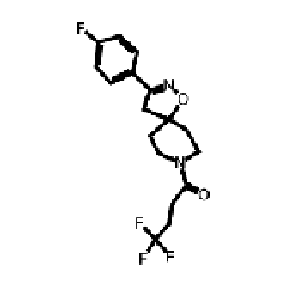 O=C(CCC(F)(F)F)N1CCC2(CC1)CC(c1ccc(F)cc1)=NO2